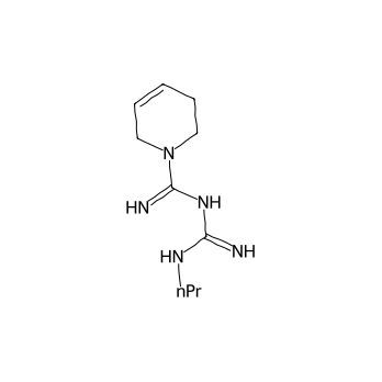 CCCNC(=N)NC(=N)N1CC=CCC1